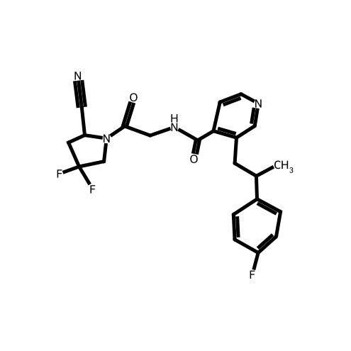 CC(Cc1cnccc1C(=O)NCC(=O)N1CC(F)(F)CC1C#N)c1ccc(F)cc1